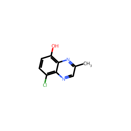 Cc1cnc2c(Cl)ccc(O)c2n1